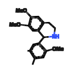 COc1cc2c(cc1OC)C(c1c[c]c(C)cc1OC)NCC2